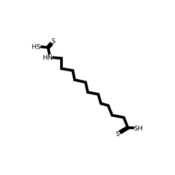 S=C(S)CCCCCCCCCCCNC(=S)S